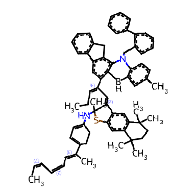 C\C=C/C=C\C=C(/C)C1=CC=C(NC2(C)Sc3cc4c(cc3/C2=C/C(=C\CC)c2cc3c(c5c2Bc2cc(C)ccc2N5Cc2ccccc2-c2ccccc2)Cc2ccccc2-3)C(C)(C)CCC4(C)C)CC1